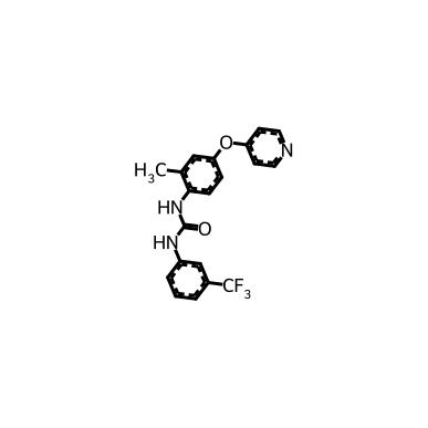 Cc1cc(Oc2ccncc2)ccc1NC(=O)Nc1cccc(C(F)(F)F)c1